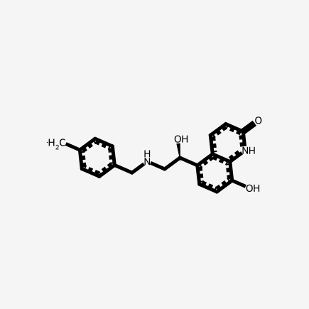 [CH2]c1ccc(CNC[C@@H](O)c2ccc(O)c3[nH]c(=O)ccc23)cc1